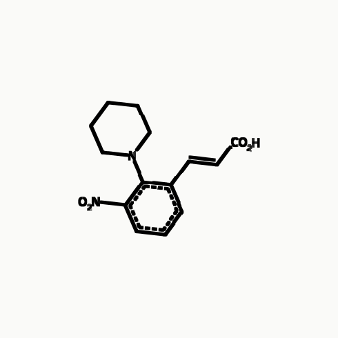 O=C(O)C=Cc1cccc([N+](=O)[O-])c1N1CCCCC1